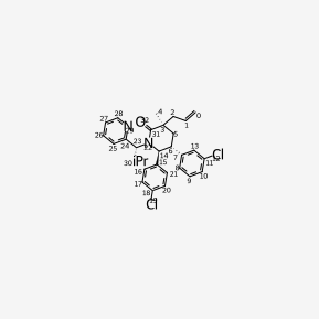 C=CC[C@@]1(C)C[C@H](c2cccc(Cl)c2)[C@@H](c2ccc(Cl)cc2)N([C@@H](c2ccccn2)C(C)C)C1=O